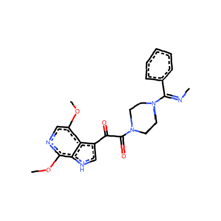 C/N=C(\c1ccccc1)N1CCN(C(=O)C(=O)c2c[nH]c3c(OC)ncc(OC)c23)CC1